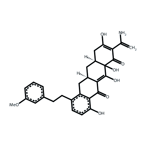 C=C(N)C1=C(O)C[C@@H]2C[C@@H]3Cc4c(CCc5cccc(OC)c5)ccc(O)c4C(=O)C3=C(O)C2(O)C1=O